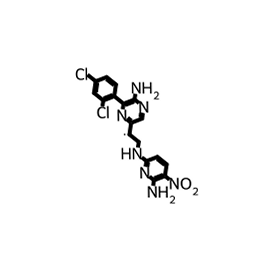 Nc1nc(NC[CH]c2cnc(N)c(-c3ccc(Cl)cc3Cl)n2)ccc1[N+](=O)[O-]